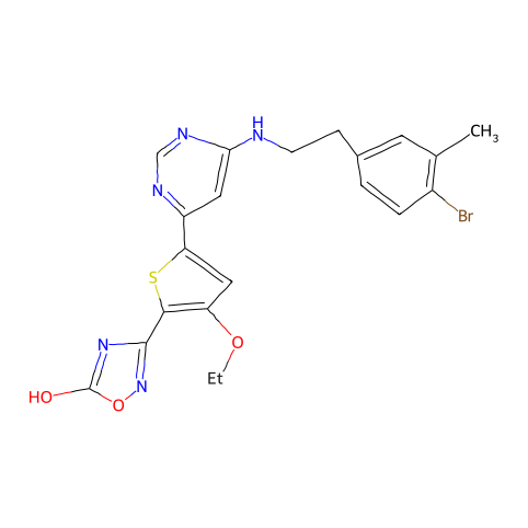 CCOc1cc(-c2cc(NCCc3ccc(Br)c(C)c3)ncn2)sc1-c1noc(O)n1